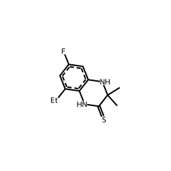 CCc1cc(F)cc2c1NC(=S)C(C)(C)N2